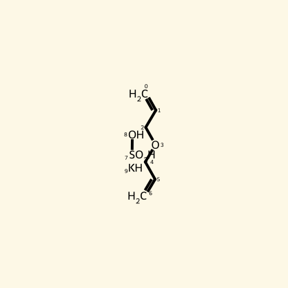 C=CCOCC=C.O=S(=O)(O)O.[KH]